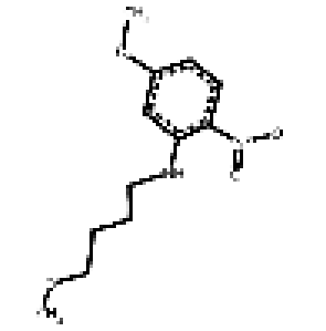 COCCCCNc1cc(OC)ccc1[N+](=O)[O-]